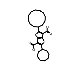 O=C(Cl)c1c(C2CCCCCCCCCCC2)sc2c(C(=O)Cl)c(C3CCCCCCC3)sc12